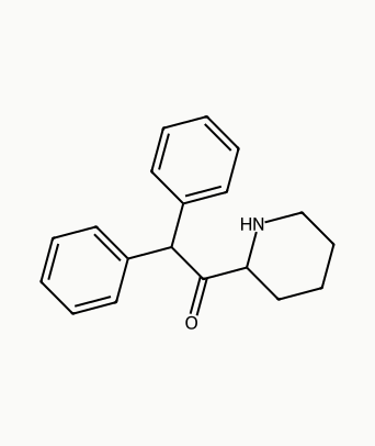 O=C(C1CCCCN1)C(c1ccccc1)c1ccccc1